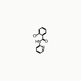 O=C(Nc1ccccn1)c1ccccc1Cl